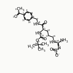 CC(=O)c1ccc(CNC(=O)[C@@H](CCCN/C(N)=N\[N+](=O)[O-])NC(=O)OC(C)(C)C)cc1